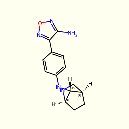 Nc1nonc1-c1ccc(N[C@@H]2[C@@H]3CC[C@H]2NC3)cc1